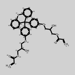 C=CC(=O)OCC(O)COc1ccc(C2(c3ccc(OCC(O)COC(=O)C=C)cc3)c3ccccc3Sc3ccccc32)cc1